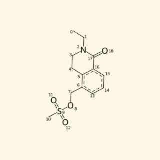 CCN1CCc2c(COS(C)(=O)=O)cccc2C1=O